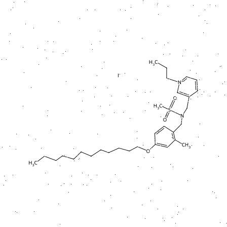 CCCCCCCCCCCCOc1ccc(CN(Cc2ccc[n+](CCC)c2)S(C)(=O)=O)c(C)c1.[I-]